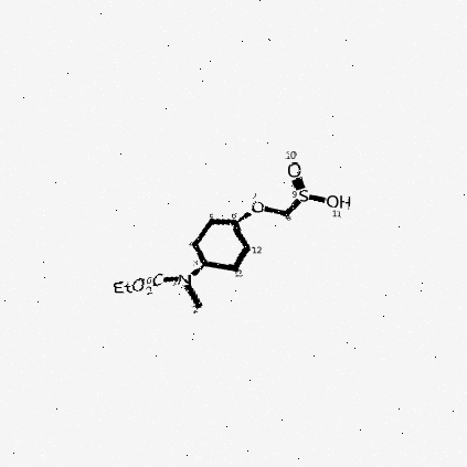 CCOC(=O)N(C)[C@H]1CC[C@@H](OCS(=O)O)CC1